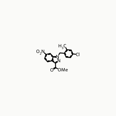 COC(=O)c1nn(Cc2ccc(Cl)cc2C)c2cc([N+](=O)[O-])ccc12